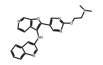 CN(C)CCOc1ncc(-c2oc3cnccc3c2Nc2cnc3ccccc3c2)cn1